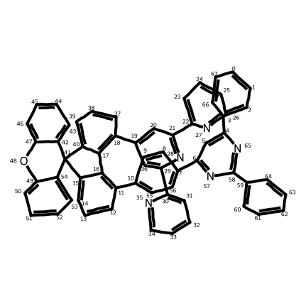 c1ccc(-c2cc(-c3ccc(-c4cccc5c4-c4c(-c6cc(-c7ccccn7)nc(-c7ccccn7)c6)cccc4C54c5ccccc5Oc5ccccc54)cc3)nc(-c3ccccc3)n2)cc1